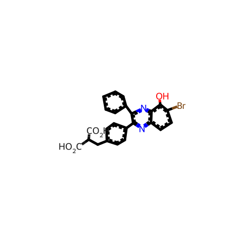 O=C(O)C(Cc1ccc(-c2nc3ccc(Br)c(O)c3nc2-c2ccccc2)cc1)C(=O)O